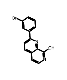 Oc1nccc2ccc(-c3cccc(Br)c3)nc12